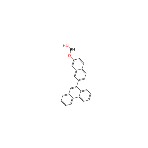 OBOc1ccc2ccc(-c3cc4ccccc4c4ccccc34)cc2c1